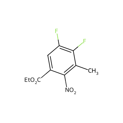 CCOC(=O)c1cc(F)c(F)c(C)c1[N+](=O)[O-]